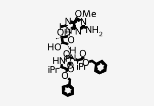 COc1nc(N)nc2c1nc(I)n2[C@@H]1O[C@H](COP(=O)(N[C@H](C(=O)OCc2ccccc2)C(C)C)N[C@H](C(=O)OCc2ccccc2)C(C)C)[C@@H](O)[C@@]1(C)O